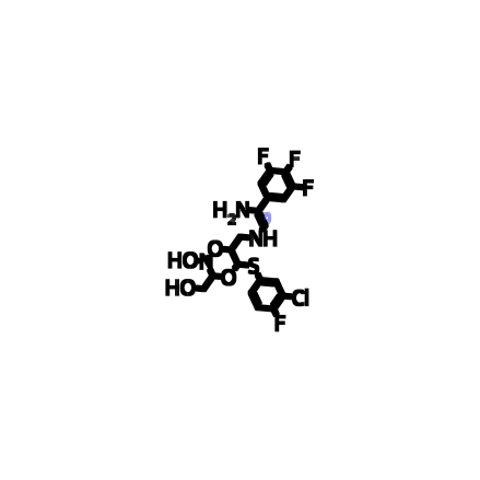 N/C(=C\NCC1ON(O)C(CO)OC1Sc1ccc(F)c(Cl)c1)c1cc(F)c(F)c(F)c1